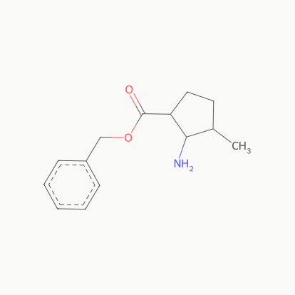 CC1CCC(C(=O)OCc2ccccc2)C1N